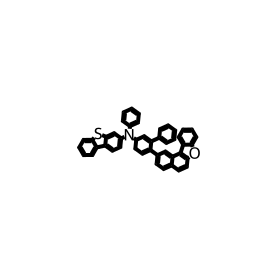 C1=C(c2ccccc2)C(c2ccc3ccc4oc5ccccc5c4c3c2)=CCC1N(c1ccccc1)c1ccc2c(c1)sc1ccccc12